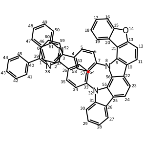 c1ccc(-c2ccc(-n3c4c(ccc5oc6ccccc6c54)c4ccc5c6ccccc6n(-c6ccc(-c7nc(-c8ccccc8)c8ccccc8n7)cc6)c5c43)cc2)cc1